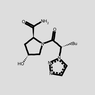 CC(C)(C)[C@@H](C(=O)N1C[C@H](O)C[C@H]1C(N)=O)n1ccnn1